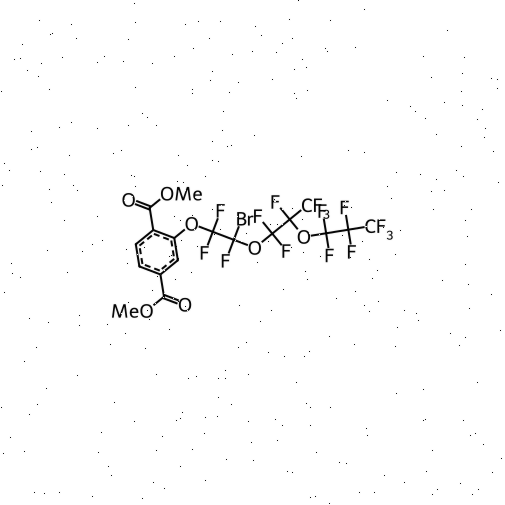 COC(=O)c1ccc(C(=O)OC)c(OC(F)(F)C(F)(Br)OC(F)(F)C(F)(OC(F)(F)C(F)(F)C(F)(F)F)C(F)(F)F)c1